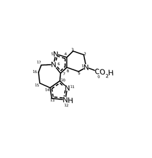 O=C(O)N1CCc2nn3c(c2C1)-c1n[nH]cc1CCC3